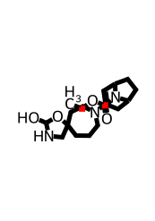 CCOC(=O)N1C2C=C(N3CCCC4(CC3)CNC(O)O4)CC1CC2